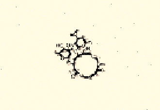 CO[C@]1(C)C[C@H](O[C@H]2C[C@@H](O[C@H]3C[C@@H](N(C)C)C[C@@H](C)O3)[C@H](O)CCCN(C)C(=O)CCCNC(=O)[C@@H]2C)O[C@@H](C)[C@@H]1O